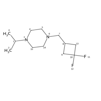 CC(C)N1CCN(CC2CC(F)(F)C2)CC1